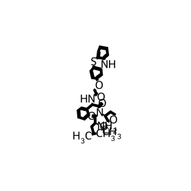 COC1OCC[C@@H]1N(C(=O)[C@@H](NC(=O)COc1ccc2c(c1)Nc1ccccc1S2)c1ccccc1)C(=O)[C@@H](N)CC(C)C